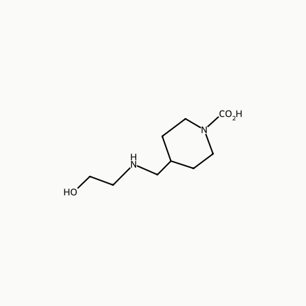 O=C(O)N1CCC(CNCCO)CC1